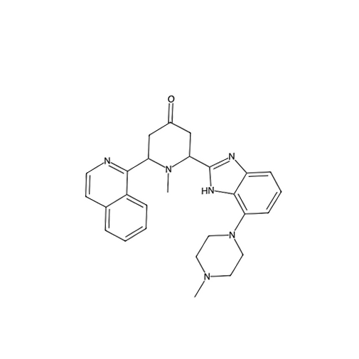 CN1CCN(c2cccc3nc(C4CC(=O)CC(c5nccc6ccccc56)N4C)[nH]c23)CC1